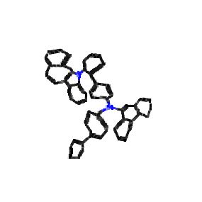 C1=Cc2cc(N(c3ccc(-c4ccccc4)cc3)c3ccc(-c4ccccc4-n4c5ccccc5c5ccc6ccccc6c54)cc3)c3ccccc3c2CC1